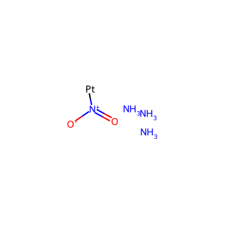 N.N.N.O=[N+]([O-])[Pt]